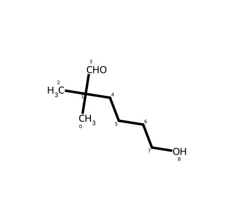 CC(C)(C=O)CCCCO